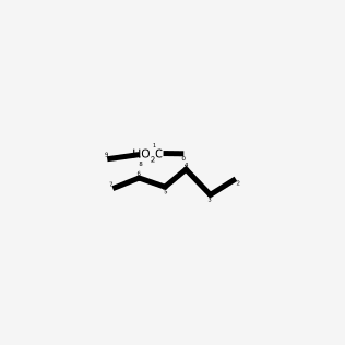 CC(=O)O.CCCCCC.[CH2]C